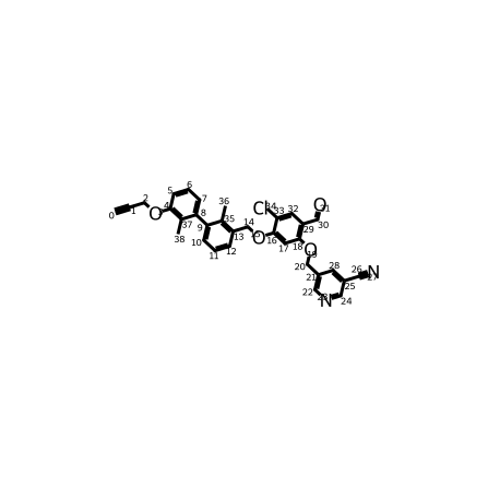 C#CCOc1cccc(-c2cccc(COc3cc(OCc4cncc(C#N)c4)c(C=O)cc3Cl)c2C)c1C